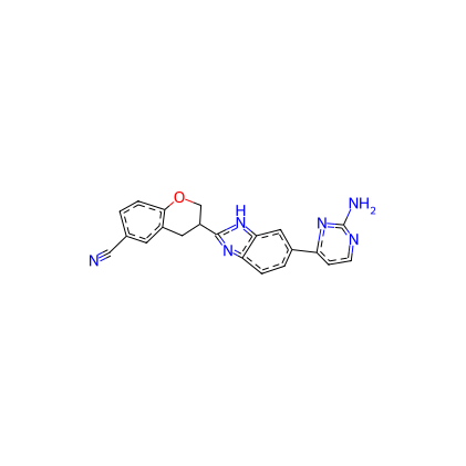 N#Cc1ccc2c(c1)CC(c1nc3ccc(-c4ccnc(N)n4)cc3[nH]1)CO2